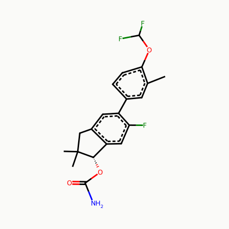 Cc1cc(-c2cc3c(cc2F)[C@H](OC(N)=O)C(C)(C)C3)ccc1OC(F)F